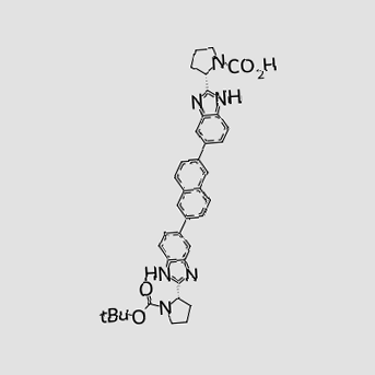 CC(C)(C)OC(=O)N1CCC[C@H]1c1nc2cc(-c3ccc4cc(-c5ccc6[nH]c([C@@H]7CCCN7C(=O)O)nc6c5)ccc4c3)ccc2[nH]1